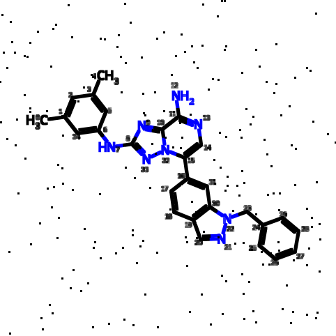 Cc1cc(C)cc(Nc2nc3c(N)ncc(-c4ccc5cnn(Cc6ccccc6)c5c4)n3n2)c1